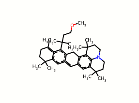 COCCC(C)(C)c1c2c(cc3c1=C(C)CCC3(C)C)=Cc1cc3c4c(c1C2)C(C)(C)CCN4CCC3(C)C